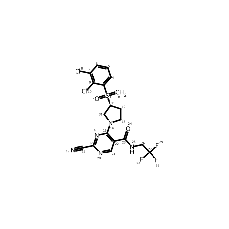 C=S(=O)(c1cccc(Cl)c1Cl)[C@H]1CCN(c2nc(C#N)ncc2C(=O)NCC(F)(F)F)C1